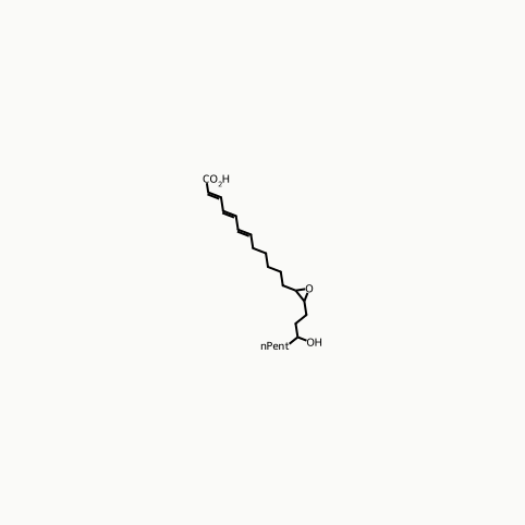 CCCCCC(O)CCC1OC1CCCCCC=CC=CC=CC(=O)O